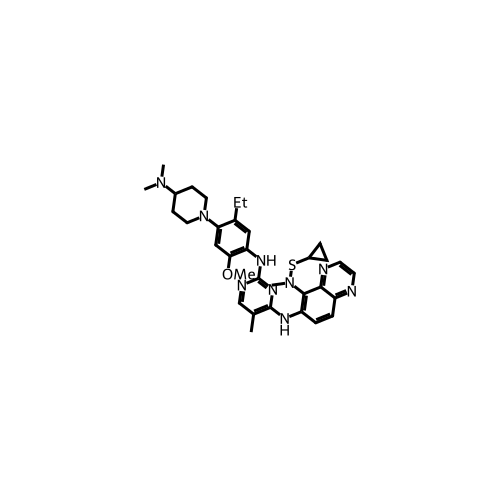 CCc1cc(Nc2ncc(C)c(Nc3ccc4nccnc4c3N(C)SC3CC3)n2)c(OC)cc1N1CCC(N(C)C)CC1